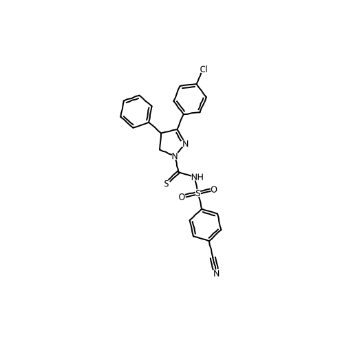 N#Cc1ccc(S(=O)(=O)NC(=S)N2CC(c3ccccc3)C(c3ccc(Cl)cc3)=N2)cc1